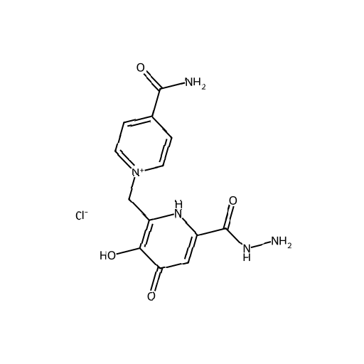 NNC(=O)c1cc(=O)c(O)c(C[n+]2ccc(C(N)=O)cc2)[nH]1.[Cl-]